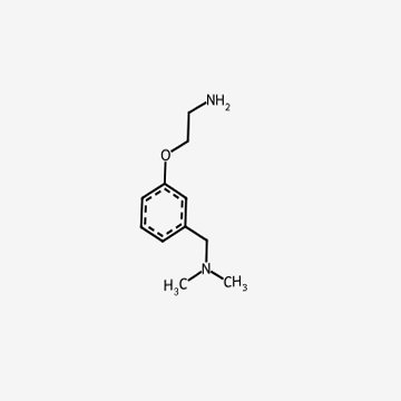 CN(C)Cc1cccc(OCCN)c1